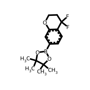 CC1(C)OB(c2ccc3c(c2)OCCC3(F)F)OC1(C)C